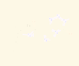 CCCC1(NC(=O)c2ncn3c(=O)n(C)nnc23)CC2CC3CC(C2)CC1C3